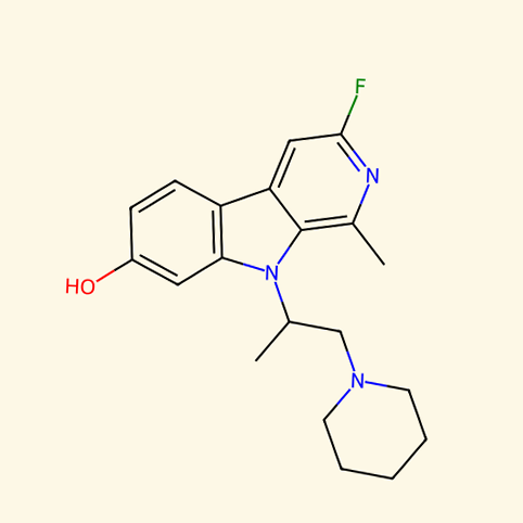 Cc1nc(F)cc2c3ccc(O)cc3n(C(C)CN3CCCCC3)c12